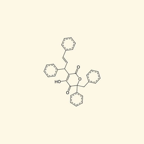 O=C1OC(Cc2ccccc2)(c2ccccc2)C(=O)C(O)=C1C(C=Cc1ccccc1)c1ccccc1